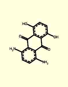 Nc1ccc(N)c2c1C(=O)c1c(O)ccc(O)c1C2=O